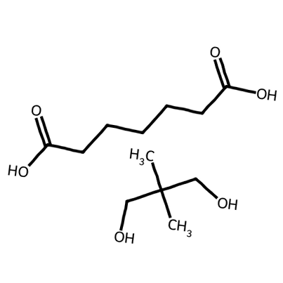 CC(C)(CO)CO.O=C(O)CCCCCC(=O)O